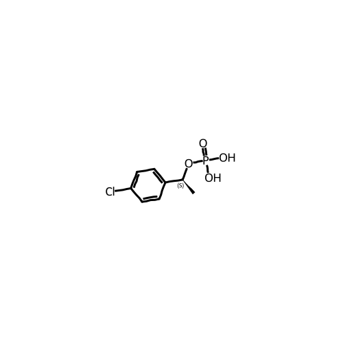 C[C@H](OP(=O)(O)O)c1ccc(Cl)cc1